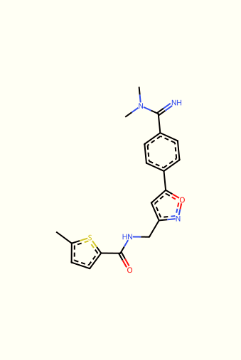 Cc1ccc(C(=O)NCc2cc(-c3ccc(C(=N)N(C)C)cc3)on2)s1